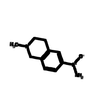 CN1CCc2cc([S+](N)[O-])ccc2C1